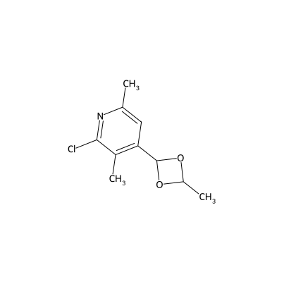 Cc1cc(C2OC(C)O2)c(C)c(Cl)n1